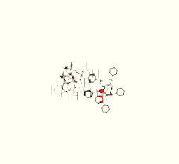 CC(=O)O[C@H]1[C@@H](O[C@]2(CO)O[C@H](CO)[C@@H](O)[C@@H]2OC(C)=O)O[C@H](CO)[C@@H](O)[C@@H]1O.CC(C)([CH2][Sn]([CH2]C(C)(C)c1ccccc1)([CH2]C(C)(C)c1ccccc1)[O][Sn]([CH2]C(C)(C)c1ccccc1)([CH2]C(C)(C)c1ccccc1)[CH2]C(C)(C)c1ccccc1)c1ccccc1